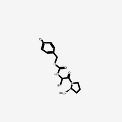 CC(C)C(NC(=O)OCc1ccc(Cl)cc1)C(=O)N1CCC[C@H]1C(=O)O